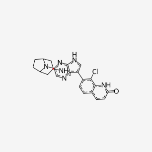 NC1CC2CCC(C1)N2c1cnc2c(-c3ccc4ccc(=O)[nH]c4c3Cl)c[nH]c2n1